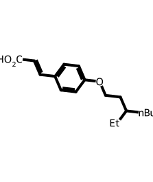 CCCCC(CC)CCOc1ccc(C=CC(=O)O)cc1